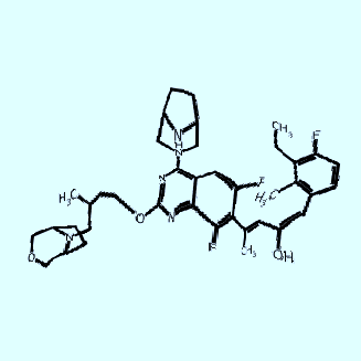 CCc1c(F)ccc(/C=C(O)\C=C(/C)c2c(F)cc3c(N4CC5CCC(C4)N5)nc(OC[C@H](C)CN4C5CCC4COC5)nc3c2F)c1C